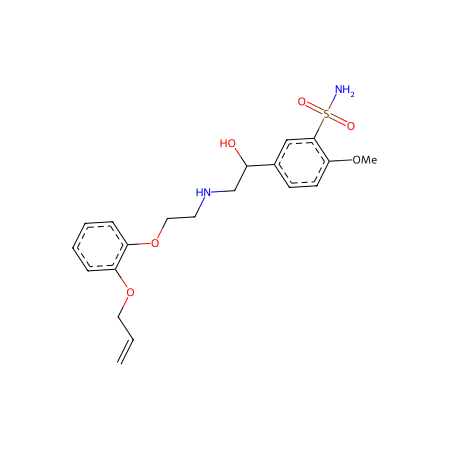 C=CCOc1ccccc1OCCNCC(O)c1ccc(OC)c(S(N)(=O)=O)c1